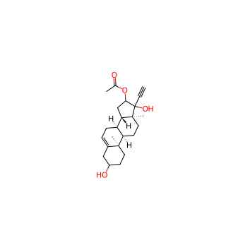 C#CC1(O)C(OC(C)=O)C[C@H]2[C@@H]3CC=C4CC(O)CC[C@]4(C)[C@@H]3CC[C@@]21C